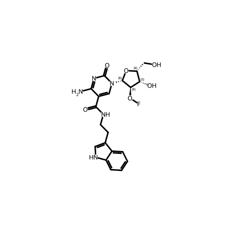 Nc1nc(=O)n([C@@H]2O[C@H](CO)[C@H](O)[C@H]2OF)cc1C(=O)NCCc1c[nH]c2ccccc12